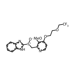 COc1c(OCCOCC(F)(F)F)ccnc1C[S+]([O-])c1nc2ccccc2[nH]1